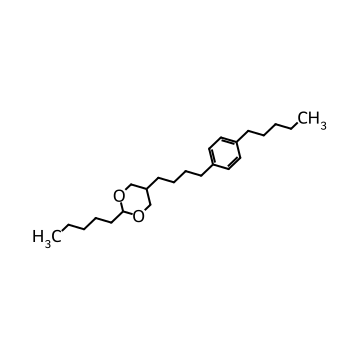 CCCCCc1ccc(CCCCC2COC(CCCCC)OC2)cc1